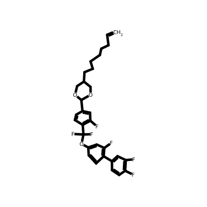 C=CCCCCCCC1COC(c2ccc(C(F)(F)Oc3ccc(-c4ccc(F)c(F)c4)c(F)c3)c(F)c2)OC1